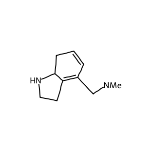 CNCC1=C2CCNC2CC=C1